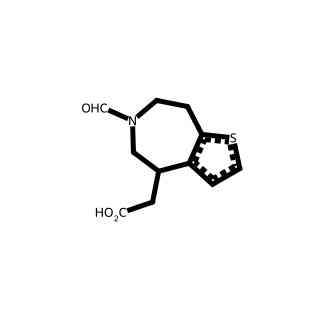 O=CN1CCc2sccc2C(CC(=O)O)C1